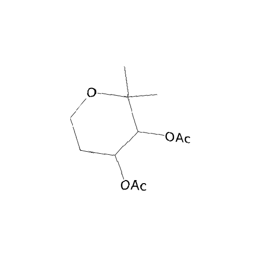 CC(=O)OC1CCOC(C)(C)C1OC(C)=O